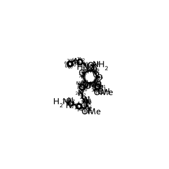 CO[C@H](c1ccc(-c2cnc(N)nc2)cc1)[C@@H](CF)n1cc(CCN(C)[C@@H]2C[C@H](O[C@@H]3[C@@H](C)C([C@H]4C[C@@](C)(OC)[C@@H](O)[C@H](C)O4)[C@@H](C)C(=O)O[C@H](C)[C@@](C)(OC(N)=O)[C@H](CNCC4CCN(Cc5ccccc5)CC4)[C@@H](C)C(=O)[C@H](C)C[C@@]3(C)OC)O[C@H](C)C2)nn1